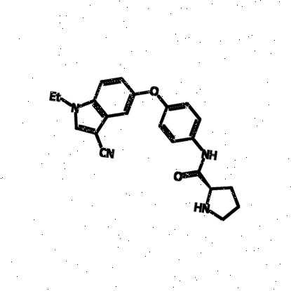 CCn1cc(C#N)c2cc(Oc3ccc(NC(=O)[C@H]4CCCN4)cc3)ccc21